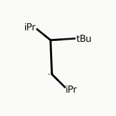 CC(C)[CH]C(C(C)C)C(C)(C)C